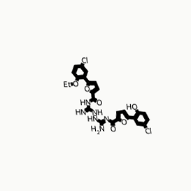 CCOc1ccc(Cl)cc1-c1ccc(C(=O)NC(=N)NNC(N)=NC(=O)c2ccc(-c3cc(Cl)ccc3O)o2)o1